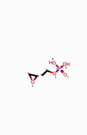 C1CO1.CCOP(=O)(O)O